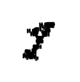 COCC(C)OC(=O)NCCCCCCn1c(=O)n(CCCCCCNC(=O)OCCOC(=O)CCc2cc(-n3nc4ccccc4n3)c(O)c(C(C)(C)C)c2)c(=O)n(CCCCCCNC(=O)OCCOC(=O)CCc2cc(-n3nc4ccccc4n3)c(O)c(C(C)(C)C)c2)c1=O